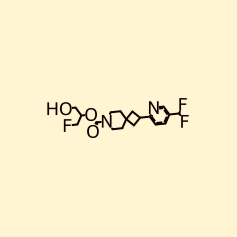 O=C(OC(CO)CF)N1CCC2(CC1)CC(c1ccc(C(F)F)cn1)C2